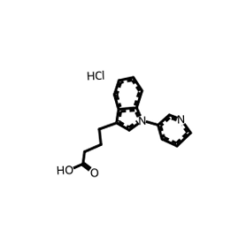 Cl.O=C(O)CCCc1cn(-c2cccnc2)c2ccccc12